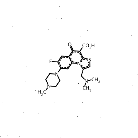 CN(C)Cc1csc2c(C(=O)O)c(=O)c3cc(F)c(N4CCN(C)CC4)cc3n12